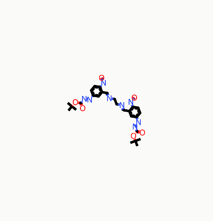 CC(C)(C)OC(=O)N=Nc1ccc(N=O)c(/C=N/CC/N=C/c2cc(N=NC(=O)OC(C)(C)C)ccc2N=O)c1